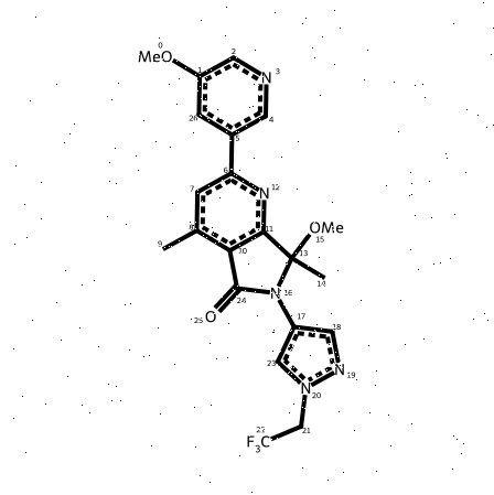 COc1cncc(-c2cc(C)c3c(n2)C(C)(OC)N(c2cnn(CC(F)(F)F)c2)C3=O)c1